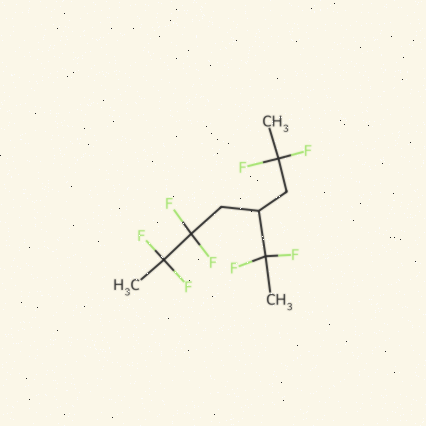 CC(F)(F)CC(CC(F)(F)C(C)(F)F)C(C)(F)F